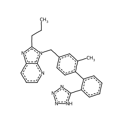 CCCc1nc2cccnc2n1Cc1ccc(-c2ccccc2-c2nnn[nH]2)c(C)c1